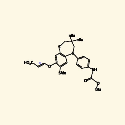 CCCCC1(CCCC)CSc2cc(O/C=C/C(=O)O)c(SC)cc2N(c2ccc(NC(=O)OC(C)(C)C)cc2)C1